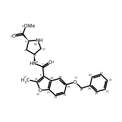 COC(=O)[C@@H]1C[C@H](NC(=O)c2c(C)oc3ccc(OCc4ccccc4)cc23)CN1